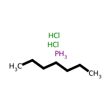 CCCCCCC.Cl.Cl.P